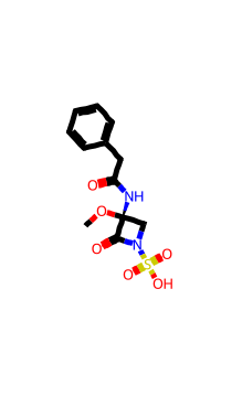 CO[C@]1(NC(=O)Cc2ccccc2)CN(S(=O)(=O)O)C1=O